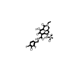 CCN1CC2C[C@@H](NS(C)(=O)=O)c3c(C(=O)NCc4ccc(F)c(Cl)c4F)c(=O)c(O)c(n32)C1=O